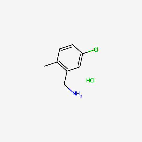 Cc1ccc(Cl)cc1CN.Cl